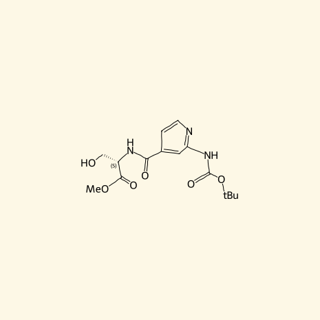 COC(=O)[C@H](CO)NC(=O)c1ccnc(NC(=O)OC(C)(C)C)c1